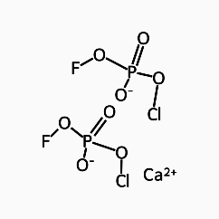 O=P([O-])(OF)OCl.O=P([O-])(OF)OCl.[Ca+2]